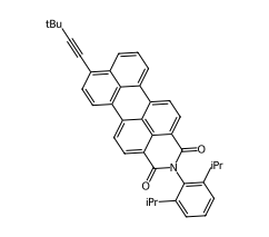 CC(C)c1cccc(C(C)C)c1N1C(=O)c2ccc3c4cccc5c(C#CC(C)(C)C)ccc(c6ccc(c2c36)C1=O)c54